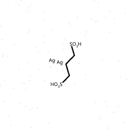 O=S(=O)(O)CCCS(=O)(=O)O.[Ag].[Ag]